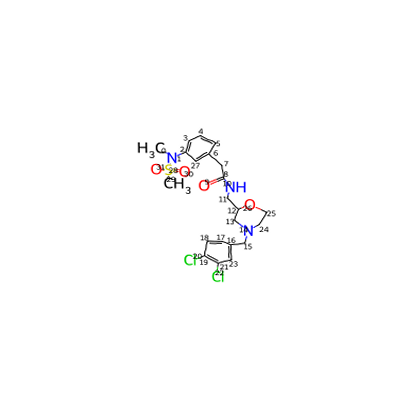 CN(c1cccc(CC(=O)NCC2CN(Cc3ccc(Cl)c(Cl)c3)CCO2)c1)S(C)(=O)=O